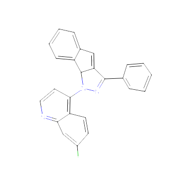 Clc1ccc2c(N3N=C(c4ccccc4)C4=Cc5ccccc5C43)ccnc2c1